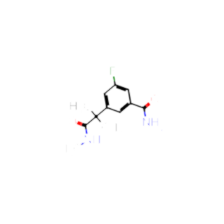 CNC(=O)C(C)(C)c1cc(F)cc(C(N)=O)c1